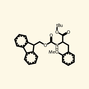 COc1ccccc1CC(NC(=O)OCC1c2ccccc2-c2ccccc21)C(=O)OC(C)(C)C